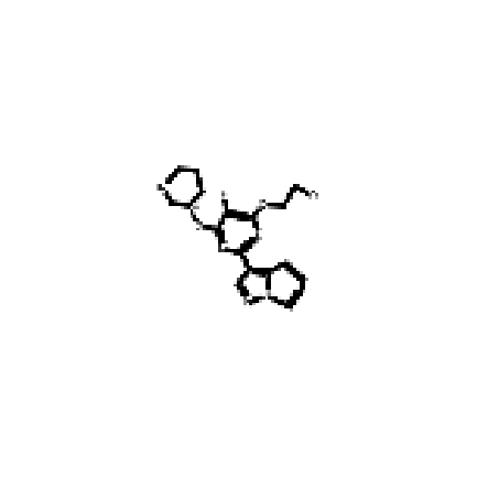 OCCOc1nc(-c2cnn3ccccc23)nc(O[C@@H]2CCCNC2)c1F